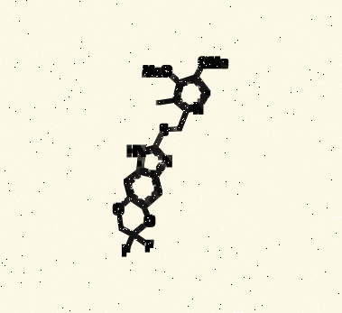 COc1cnc(CSc2nc3cc4c(cc3[nH]2)OCC(F)(F)O4)c(C)c1OC